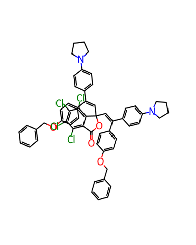 O=C1OC(C=C(c2ccc(OCc3ccccc3)cc2)c2ccc(N3CCCC3)cc2)(C=C(c2ccc(OCc3ccccc3)cc2)c2ccc(N3CCCC3)cc2)c2c(Cl)c(Cl)c(Cl)c(Cl)c21